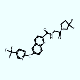 O=C(NCC(=O)N1CCC(F)(F)C1)c1ccc2cc(Oc3ccc(C(F)(F)F)cn3)ccc2n1